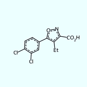 CCc1c(C(=O)O)noc1-c1ccc(Cl)c(Cl)c1